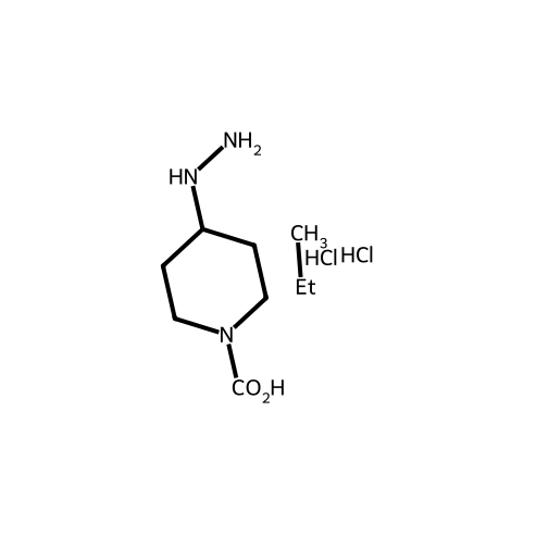 CCC.Cl.Cl.NNC1CCN(C(=O)O)CC1